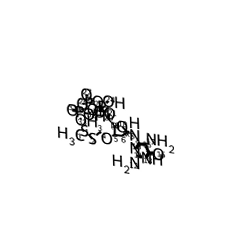 CSSCOC1C[C@H](Nc2nc(N)[nH]c(=O)c2N)O[C@@H]1COP(=O)(O)OP(=O)(O)OP(=O)(O)O